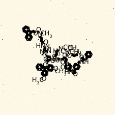 COc1ccc(C(OC[C@H]2O[C@@H](n3cnc4c(NC(=O)CCCN(C)C(=O)OCC5c6ccccc6-c6ccccc65)ncnc43)C[C@H]2OP(OCCC#N)OC[C@H]2O[C@@H](n3ccc(NC(=O)c4ccc(CNC(=O)Cc5ccccc5)cc4)nc3=O)C[C@H]2OP(OCCC#N)N(C(C)C)C(C)C)(c2ccccc2)c2ccc(OC)cc2)cc1